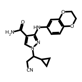 N#CCC(C1CC1)n1cc(C(N)=O)c(Nc2ccc3c(c2)OCCO3)n1